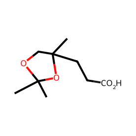 CC1(CCC(=O)O)COC(C)(C)O1